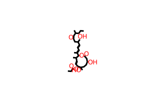 CCC(=O)OC1/C=C/C(C)C(/C(C)=C/C=C/C(C)CC2OC2C(C)C(O)CC)OC(=O)CC(O)CCC1(C)O